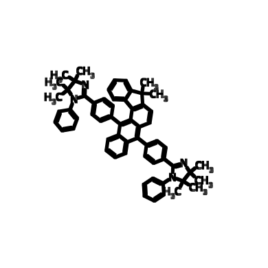 CC1(C)c2ccccc2-c2c1ccc1c(-c3ccc(C4=NC(C)(C)C(C)(C)N4c4ccccc4)cc3)c3ccccc3c(-c3ccc(C4=NC(C)(C)C(C)(C)N4c4ccccc4)cc3)c21